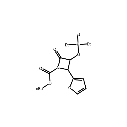 CCCCOC(=O)N1C(=O)C(O[Si](CC)(CC)CC)C1c1ccco1